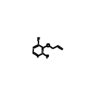 C=CCOc1c(F)[c]ccc1F